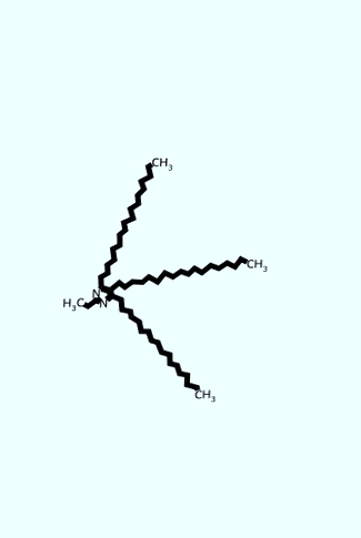 C[CH]c1nc(CCCCCCCCCCCCCCCCCC)c(CCCCCCCCCCCCCCCCCC)c(CCCCCCCCCCCCCCCCCC)n1